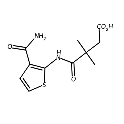 CC(C)(CC(=O)O)C(=O)Nc1sccc1C(N)=O